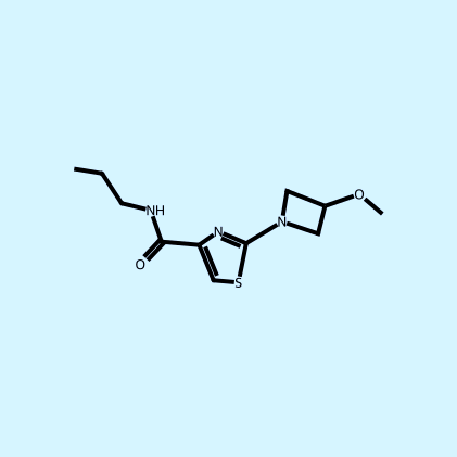 CCCNC(=O)c1csc(N2CC(OC)C2)n1